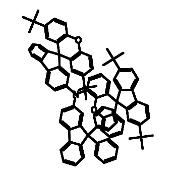 CC(C)(C)c1ccc2c(c1)C1(c3cc(C(C)(C)C)ccc3O2)c2ccccc2-c2ccc(N(c3ccc4c(c3)C(c3ccccc3)(c3ccccc3)c3ccccc3-4)c3cccc4c3Oc3ccccc3C43c4cc(C(C)(C)C)ccc4-c4ccc(C(C)(C)C)cc43)cc21